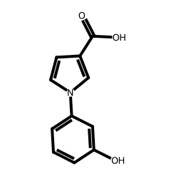 O=C(O)c1ccn(-c2cccc(O)c2)c1